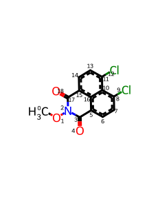 CON1C(=O)c2ccc(Cl)c3c(Cl)ccc(c23)C1=O